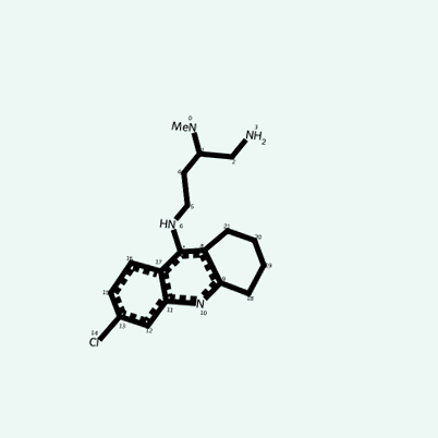 CNC(CN)CCNc1c2c(nc3cc(Cl)ccc13)CCCC2